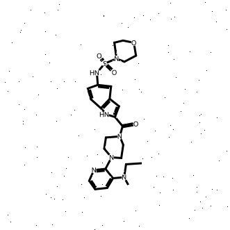 CCN(C)c1cccnc1N1CCN(C(=O)c2cc3cc(NS(=O)(=O)N4CCOCC4)ccc3[nH]2)CC1